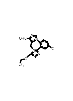 O=Cc1ncn2c1Cn1c(COCC(F)(F)F)nnc1-c1cc(Cl)ccc1-2